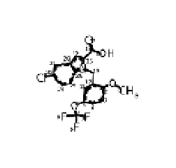 COc1ccc(OC(F)(F)F)cc1Cn1c(C(=O)O)cc2cc(Cl)ccc21